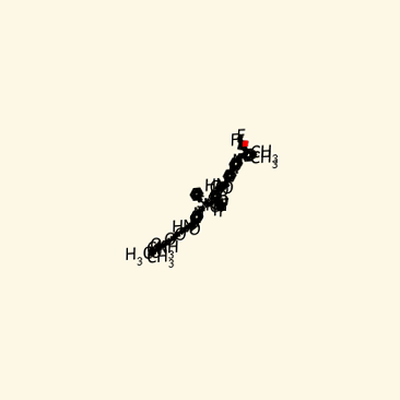 CC1(C)CCC(CN2CCN(c3ccc(C(=O)NS(=O)(=O)c4ccc(N[C@H](CCN5CCN(C(=O)NCCOCCOCCNC(=O)OC(C)(C)C)CC5)CSc5ccccc5)c(S(=O)(=O)C(F)(F)F)c4)cc3)CC2)=C(C23CC(C(F)F)(C2)C3)C1